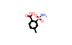 Cc1ccc(C(=O)O)c(S(N)(=O)=O)c1